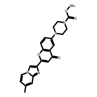 Cc1ccn2cc(-c3cc(=O)c4cc(N5CCN(C(=O)OC(C)(C)C)CC5)ccc4o3)nc2c1